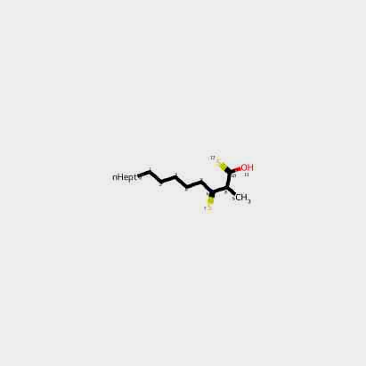 CCCCCCCCCCCCC(=S)C(C)C(O)=S